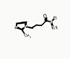 CCN(CC)C(=O)CCCn1c[c]nc1C